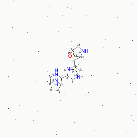 C1CC2NC1CNC2C1CN2CCN1C(C1OC3CNC1C3)C2